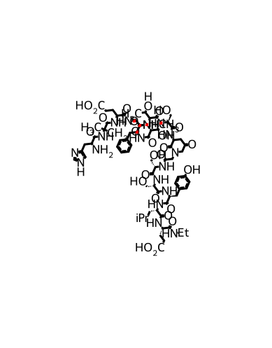 CCNC(=O)[C@H](CCC(=O)O)NC(=O)[C@H](CC(C)C)NC(=O)[C@H](Cc1ccc(O)cc1)NC(=O)[C@H](CO)NC(=O)[C@H](CO)NC(=O)CN1CC(=O)CC(NC(=O)[C@H](CO)NC(=O)[C@@H](NC(=O)C(Cc2ccccc2)NC(=O)[C@@H](NC(=O)CNC(=O)C(CCC(=O)O)NC(=O)C(C)(C)NC(=O)C(N)Cc2c[nH]cn2)C(C)O)C(C)O)C1=O